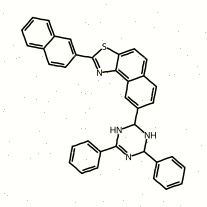 c1ccc(C2=NC(c3ccccc3)NC(c3ccc4ccc5sc(-c6ccc7ccccc7c6)nc5c4c3)N2)cc1